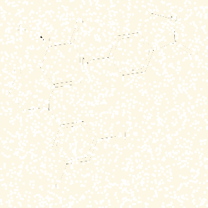 CC(=O)O[C@@H](C(=O)Nc1ccc2c(c1)CNC2=O)[C@H]1OCCN(c2cc(C(F)(F)F)cc(C(F)(F)F)c2)C1=O